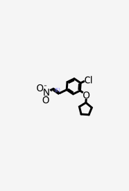 O=[N+]([O-])/C=C/c1ccc(Cl)c(OC2CCCC2)c1